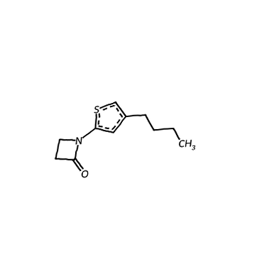 CCCCc1csc(N2CCC2=O)c1